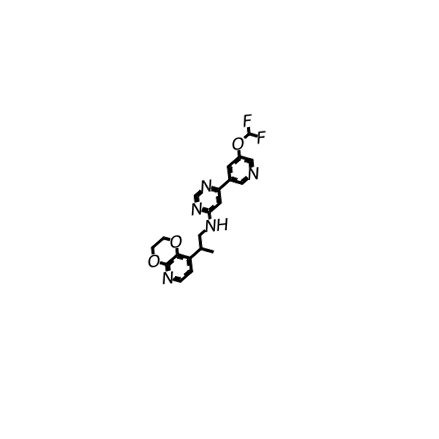 CC(CNc1cc(-c2cncc(OC(F)F)c2)ncn1)c1ccnc2c1OCCO2